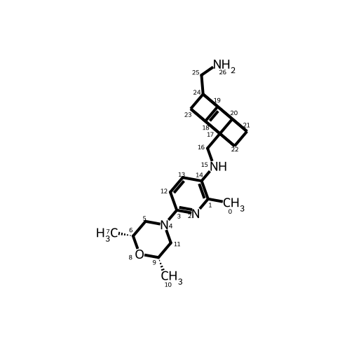 Cc1nc(N2C[C@@H](C)O[C@@H](C)C2)ccc1NCC12C3=C4C1C1C2C3C41CN